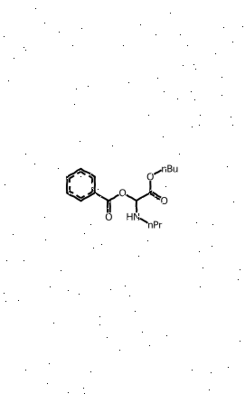 CCCCOC(=O)C(NCCC)OC(=O)c1ccccc1